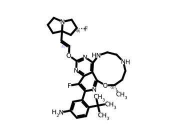 C[C@H]1CCNCCNc2nc(O/C=C/C34CCCN3C[C@H](F)C4)nc3c(F)c(-c4cc(N)ccc4C(C)(C)C)nc(c23)O1